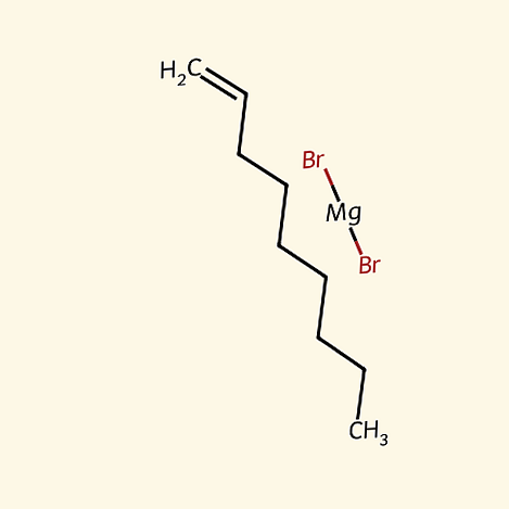 C=CCCCCCCC.[Br][Mg][Br]